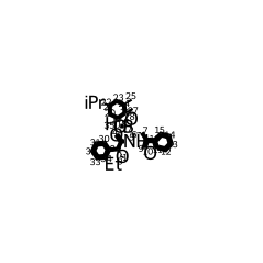 CCO[C@@H](C(=O)N[C@@H](Cc1coc2ccccc12)B1O[C@@H]2C[C@@H](C(C)C)C[C@@H](C)[C@]2(C)O1)c1ccccc1